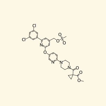 COC(=O)C1(C(=O)N2CCN(c3ccc(Oc4cc(COS(C)(=O)=O)cc(-c5cc(Cl)cc(Cl)c5)n4)cn3)CC2)CC1